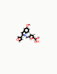 COc1ccc2c(c1)cc(-c1ccoc1)n2Cc1ccc(C(=O)O)o1